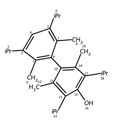 Cc1c(C(C)C)cc(C(C)C)c(C)c1-c1c(C)c(C(C)C)c(O)c(C(C)C)c1C